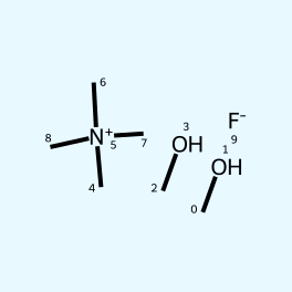 CO.CO.C[N+](C)(C)C.[F-]